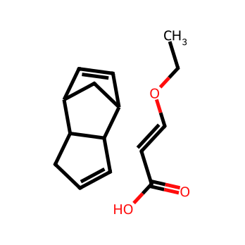 C1=CC2C3C=CC(C3)C2C1.CCOC=CC(=O)O